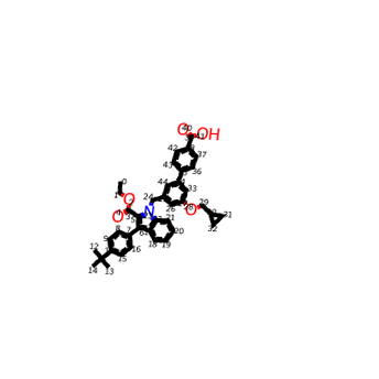 CCOC(=O)c1c(-c2ccc(C(C)(C)C)cc2)c2ccccc2n1Cc1cc(OCC2CC2)cc(-c2ccc(C(=O)O)cc2)c1